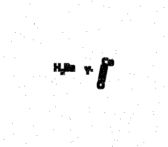 [BaH2].[O]=[Co].[Y]